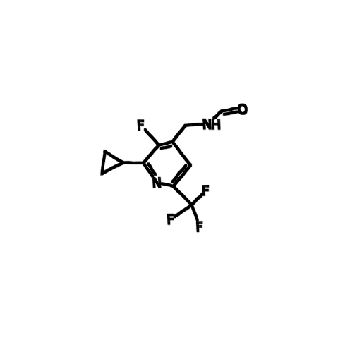 O=CNCc1cc(C(F)(F)F)nc(C2CC2)c1F